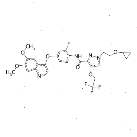 COc1cc2nccc(Oc3ccc(NC(=O)c4nn(CCOC5CC5)cc4OCC(F)(F)F)c(F)c3)c2cc1OC